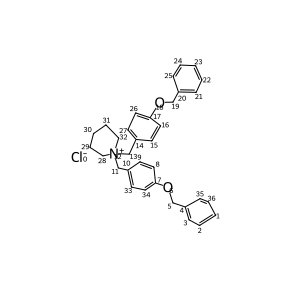 [Cl-].c1ccc(COc2ccc(C[N+]3(Cc4ccc(OCc5ccccc5)cc4)CCCCC3)cc2)cc1